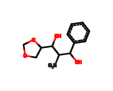 O=[N+]([O-])C(C(O)c1ccccc1)C(O)C1COCO1